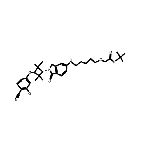 CC(C)(C)OC(=O)COCCCCCNc1ccc2c(c1)CN([C@H]1C(C)(C)[C@H](Oc3ccc(C#N)c(Cl)c3)C1(C)C)C2=O